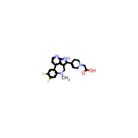 CN1Cc2c(C3=CCN(CC(=O)O)CC3)[nH]c3nccc(c23)-c2cc(F)c(F)cc21